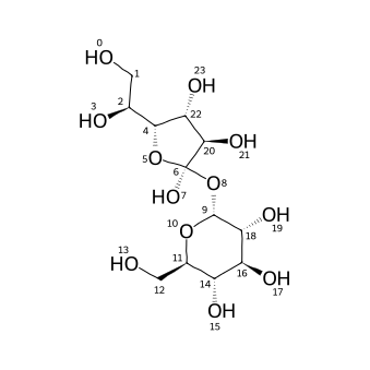 OC[C@H](O)[C@H]1O[C@](O)(O[C@H]2O[C@H](CO)[C@@H](O)[C@H](O)[C@H]2O)[C@H](O)[C@H]1O